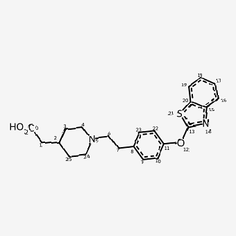 O=C(O)CC1CCN(CCc2ccc(Oc3nc4ccccc4s3)cc2)CC1